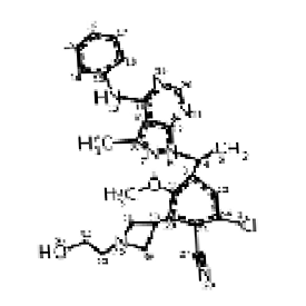 COc1c(C(C)n2nc(C)c3c(Nc4ccccc4)ncnc32)cc(Cl)c(C#N)c1C1CN(CCO)C1